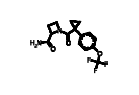 NC(=O)C1CCN1C(=O)C1(c2ccc(OC(F)(F)F)cc2)CC1